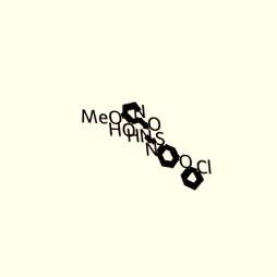 COc1ccnc(C(=O)Nc2nc3ccc(Oc4ccccc4Cl)cc3s2)c1O